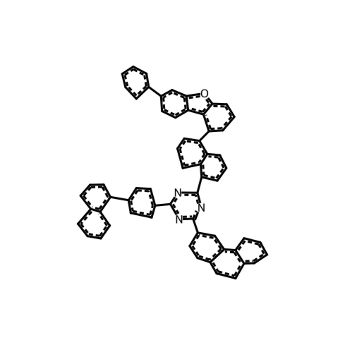 c1ccc(-c2ccc3c(c2)oc2cccc(-c4cccc5c(-c6nc(-c7ccc(-c8cccc9ccccc89)cc7)nc(-c7ccc8ccc9ccccc9c8c7)n6)cccc45)c23)cc1